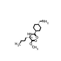 CCCC[C@H](NC(=O)[C@H]1CC[C@H](CN)CC1)C(=O)OC